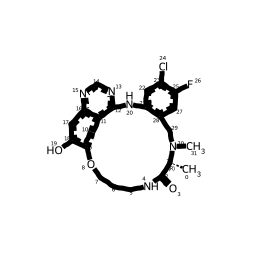 C[C@@H]1C(=O)NCCCOc2cc3c(ncnc3cc2O)Nc2cc(Cl)c(F)cc2CN1C